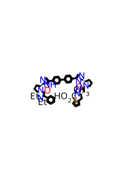 CCN(CC)[C@@H](C(=O)N1CCC[C@H]1c1ncc(-c2ccc(-c3ccc(-c4cnc([C@@H]5CCCN5C(=O)C[C@H](Cc5cccs5)N(C)C(=O)O)[nH]4)cc3)cc2)[nH]1)c1ccccc1